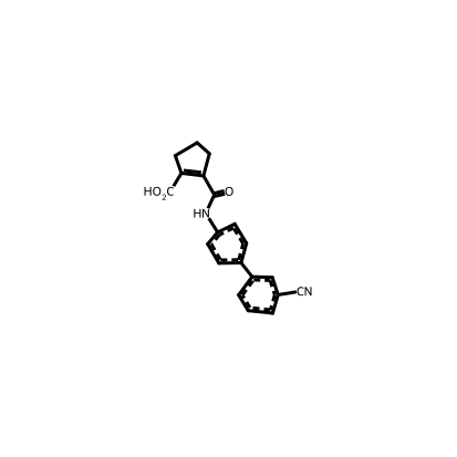 N#Cc1cccc(-c2ccc(NC(=O)C3=C(C(=O)O)CCC3)cc2)c1